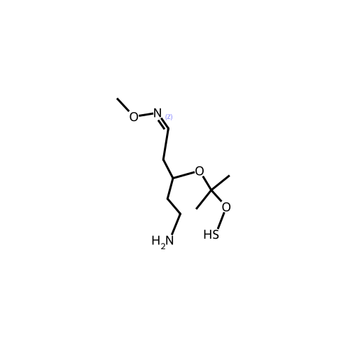 CO/N=C\CC(CCN)OC(C)(C)OS